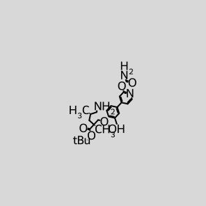 C[C@H](CN)C[C@@](C)(COc1ccc(-c2ccnc(OC(N)=O)c2)cc1CO)C(=O)OC(C)(C)C